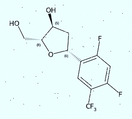 OC[C@H]1O[C@@H](c2cc(C(F)(F)F)c(F)cc2F)C[C@@H]1O